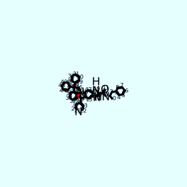 CC(Cc1ccccc1)NC(=O)c1nc2cc3c(-c4ccncc4)nn(CC(c4ccccc4)(c4ccccc4)c4ccccc4)c3cc2[nH]1